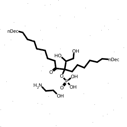 CCCCCCCCCCCCCCCCCC(=O)C(CCCCCCCCCCCCCCCC)(OP(=O)(O)O)C(O)CO.NCCO